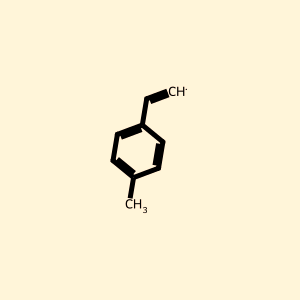 [CH]=Cc1ccc(C)cc1